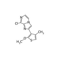 COc1scc(C)c1-c1cn2ccnc(Cl)c2n1